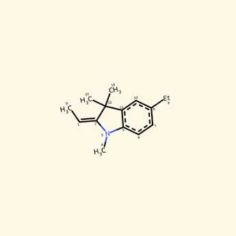 CC=C1N(C)c2ccc(CC)cc2C1(C)C